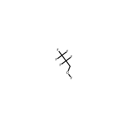 FOCC(F)(F)C(F)(F)F